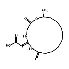 CC1CCCCCCCCC(=O)NC(=NC(=O)O)NCC(=O)O1